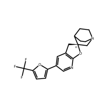 FC(F)(F)c1ccc(-c2cnc3c(c2)C[C@@]2(CN4CCC2CC4)O3)o1